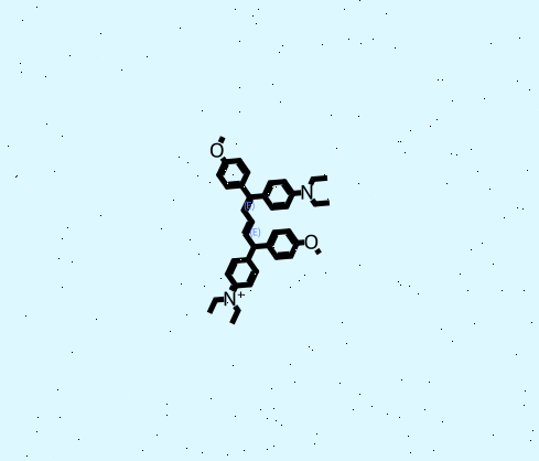 CCN(CC)c1ccc(/C(=C\C=C\C(c2ccc(OC)cc2)C2C=CC(=[N+](CC)CC)C=C2)c2ccc(OC)cc2)cc1